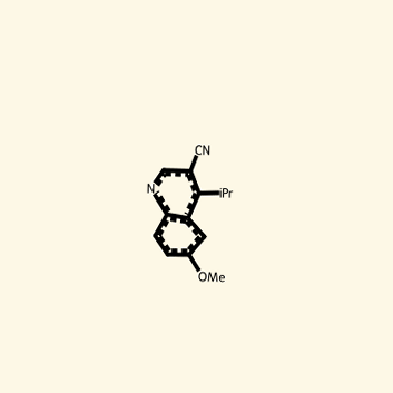 COc1ccc2ncc(C#N)c(C(C)C)c2c1